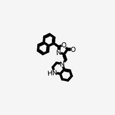 O=C1OC(c2cccc3ccccc23)=NC1=CN1CCNC2CCCC=C21